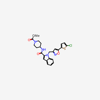 COC(=O)N1CCC(NC(=O)c2cc3ccccc3n2Cc2cc(-c3ccc(Cl)s3)on2)CC1